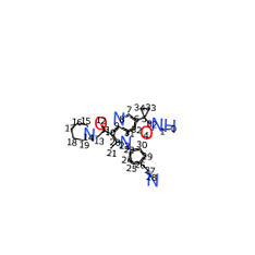 CCNC(=O)C1(c2cnc3c(C(=O)CN4CCCCC4)c(C)n(-c4ccc(C#N)cc4)c3c2)CC1